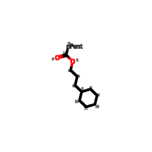 [CH2]CCCCC(=O)OCCCC1CCCCC1